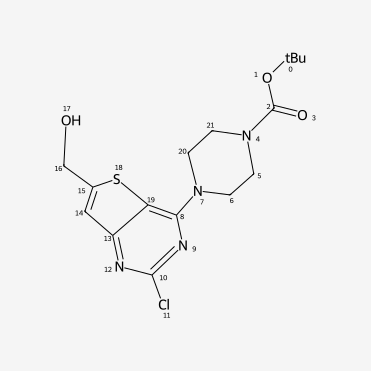 CC(C)(C)OC(=O)N1CCN(c2nc(Cl)nc3cc(CO)sc23)CC1